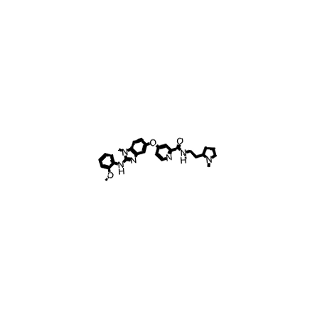 COc1ccccc1Nc1nc2cc(Oc3ccnc(C(=O)NCCC4CCCN4C)c3)ccc2n1C